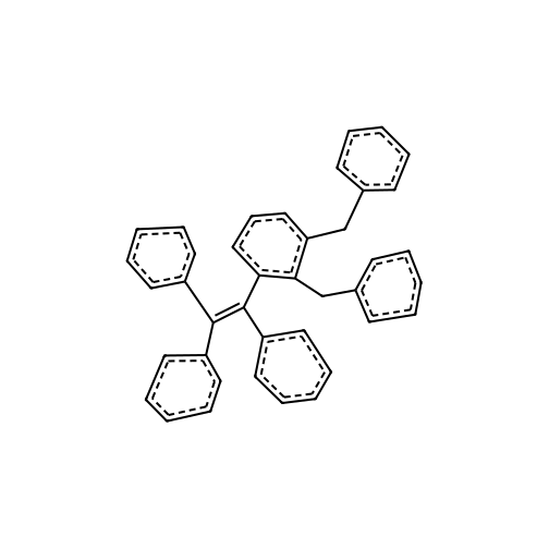 c1ccc(Cc2cccc(C(=C(c3ccccc3)c3ccccc3)c3ccccc3)c2Cc2ccccc2)cc1